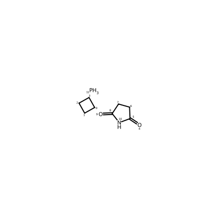 C1CCC1.O=C1CCC(=O)N1.P